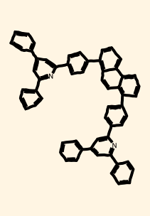 c1ccc(-c2cc(-c3ccccc3)nc(-c3ccc(-c4cccc5c4ccc4c(-c6ccc(-c7cc(-c8ccccc8)cc(-c8ccccc8)n7)cc6)cccc45)cc3)c2)cc1